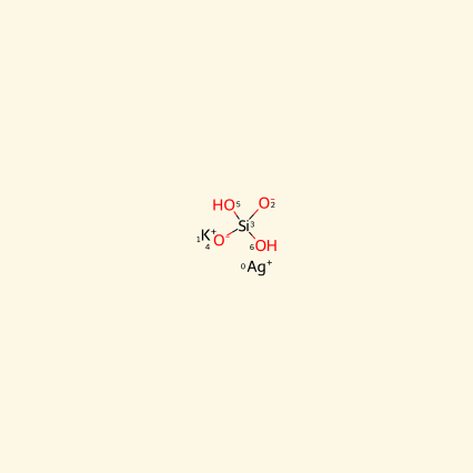 [Ag+].[K+].[O-][Si]([O-])(O)O